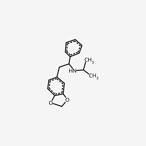 CC(C)NC(Cc1ccc2c(c1)OCO2)c1ccccc1